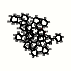 c1ccc(-c2nc(-c3cccc(-c4cccc(-c5cccc(-c6nc(-c7ccccc7)nc(-c7ccccc7)n6)c5-n5c6ccccc6c6c(-c7cccc8c7sc7ccccc78)cccc65)c4)c3)nc(-c3cccc(-c4ccccc4)c3-n3c4ccccc4c4c(-c5cccc6c5oc5ccccc56)cccc43)n2)cc1